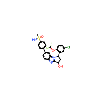 CS(=N)(=O)c1ccc(-c2ccc3nc4n(c3c2)[C@@H](c2cc(Cl)ccc2OC(F)F)C[C@H]4O)cc1